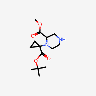 COC(=O)C1CNCCN1C1(C(=O)OC(C)(C)C)CC1